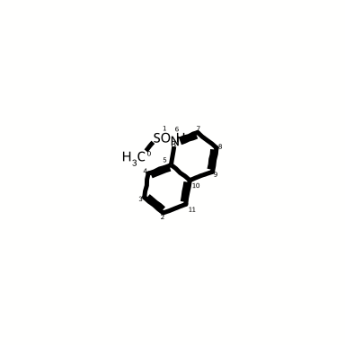 CS(=O)(=O)O.c1ccc2ncccc2c1